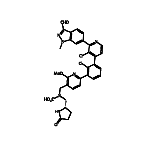 COc1nc(-c2cccc(-c3ccnc(-c4ccc5c(C=O)nn(C)c5c4)c3Cl)c2Cl)ccc1CN(C[C@@H]1CCC(=O)N1)C(=O)O